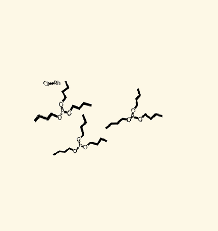 CCCCOP(OCCCC)OCCCC.CCCCOP(OCCCC)OCCCC.CCCCOP(OCCCC)OCCCC.[Cl][Rh]